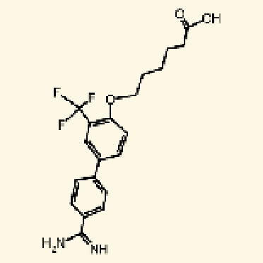 N=C(N)c1ccc(-c2ccc(OCCCCCC(=O)O)c(C(F)(F)F)c2)cc1